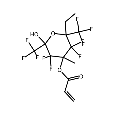 C=CC(=O)OC1(C)C(F)(F)C(O)(C(F)(F)F)OC(CC)(C(F)(F)F)C1(F)F